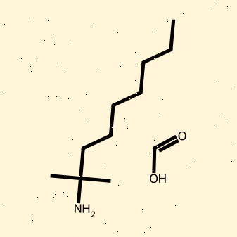 CCCCCCCC(C)(C)N.O=CO